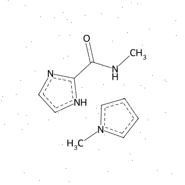 CNC(=O)c1ncc[nH]1.Cn1cccc1